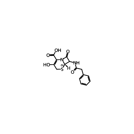 O=C(Cc1ccccc1)NC1C(=O)N2C(C(=O)O)=C(O)CS[C@@H]12